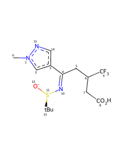 Cn1cc(/C(CC(CC(=O)O)C(F)(F)F)=N\[S@+]([O-])C(C)(C)C)cn1